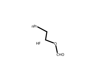 CCCCCOC=O.F